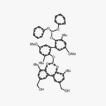 COc1cc(-c2cc(OC)cc(C(C)(C)C)c2Op2oc3c(C(C)(C)C)cc(CO)cc3c3cc(CO)cc(C(C)(C)C)c3o2)c(OP(Oc2ccccc2)Oc2ccccc2)c(C(C)(C)C)c1